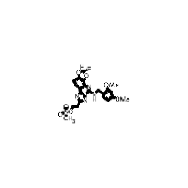 COc1ccc(CNc2nc3c4c(ccc3c3nc(CCOS(C)(=O)=O)nn23)OC(F)(F)O4)c(OC)c1